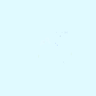 CC(=O)C(S)CC1SC[C@@H](C(=O)O)N1C(=O)C(C)C(S)C(=O)c1ccccc1